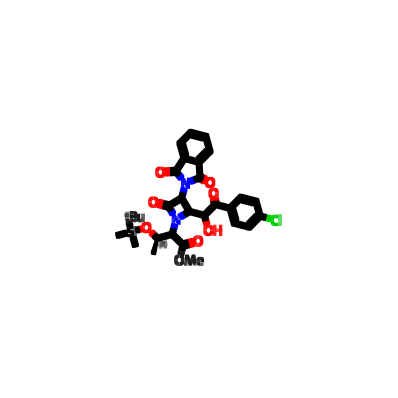 COC(=O)C([C@@H](C)O[Si](C)(C)C(C)(C)C)N1C(=O)C(N2C(=O)c3ccccc3C2=O)C1C(O)C(=O)c1ccc(Cl)cc1